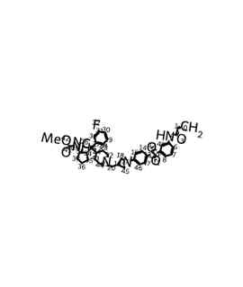 C=CC(=O)Nc1cccc(S(=O)(=O)c2ccc(N3CC(CN4CCC(C(C#N)(c5cccc(F)c5)[C@H]5CCC[C@@H]5NC(=O)OC)CC4)C3)cc2)c1